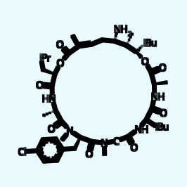 CCC(C)C1NC(=O)CN(C)C(=O)[C@@H](Cc2ccc(Cl)cc2)N(C)C(=O)[C@H](C)NC(=O)[C@@H](CC(C)C)OC(=O)/C(C)=C/C[C@H](N)[C@H](C)[C@@H]([C@@H](C)CC)OC(=O)[C@@H](C)NC1=O